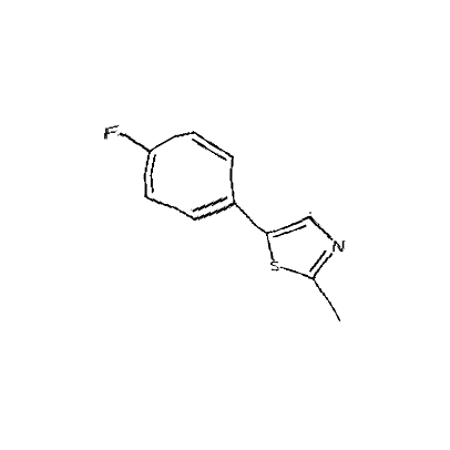 Cc1n[c]c(-c2ccc(F)cc2)s1